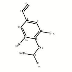 C=Cc1cc(F)c(OC(F)F)c(F)c1